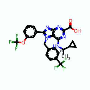 C[C@@H](Nc1nc(C(=O)O)nc2nc(-c3cccc(OC(F)(F)F)c3)n(Cc3ccc(C(F)(F)F)cc3)c12)C1CC1